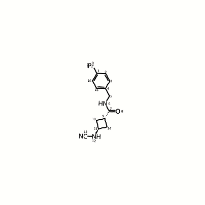 CC(C)c1ccc(CNC(=O)[C@H]2C[C@H](NC#N)C2)cc1